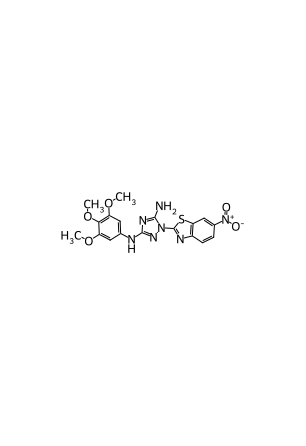 COc1cc(Nc2nc(N)n(-c3nc4ccc([N+](=O)[O-])cc4s3)n2)cc(OC)c1OC